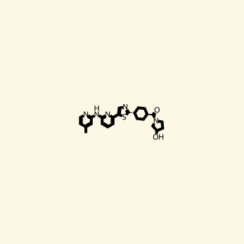 Cc1ccnc(Nc2cccc(-c3cnc([C@H]4CC[C@H](C(=O)N5CCC(O)C5)CC4)s3)n2)c1